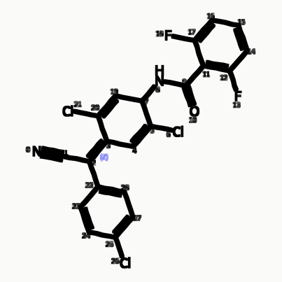 N#C/C(=C1/C=C(Cl)C(NC(=O)c2c(F)cccc2F)C=C1Cl)c1ccc(Cl)cc1